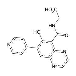 O=C(O)CNC(=O)c1c(O)c(-c2ccncc2)cc2nccnc12